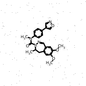 COc1cc2c(cc1OC)CC(C)N(C(=O)N(C)c1ccc(-c3cnoc3)cc1)N=C2